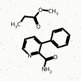 CCC(=O)OC.NC(=O)c1ncccc1-c1ccccc1